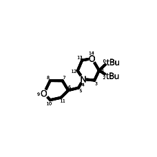 CC(C)(C)C1(C(C)(C)C)CN(CC2CCOCC2)CCO1